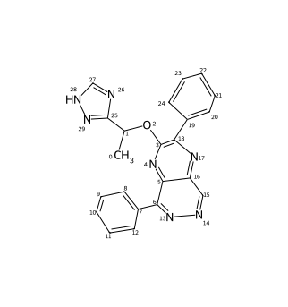 CC(Oc1nc2c(-c3ccccc3)nncc2nc1-c1ccccc1)c1nc[nH]n1